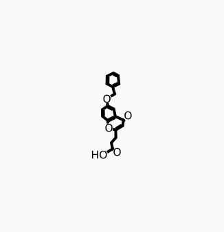 O=C(O)CCc1cc(=O)c2cc(OCc3ccccc3)ccc2o1